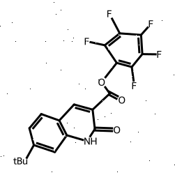 CC(C)(C)c1ccc2cc(C(=O)Oc3c(F)c(F)c(F)c(F)c3F)c(=O)[nH]c2c1